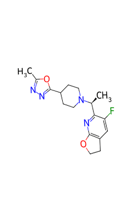 Cc1nnc(C2CCN([C@@H](C)c3nc4c(cc3F)CCO4)CC2)o1